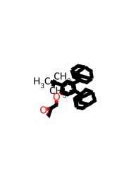 CC(C)(C)c1cc(C23CC4CC(CC(C4)C2)C3)c(C23CC4CC(CC(C4)C2)C3)cc1OCC1CO1